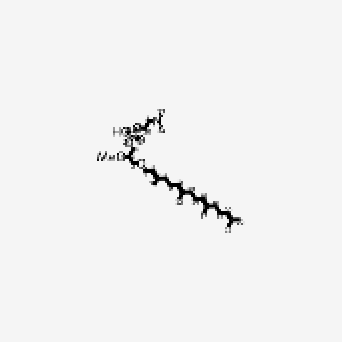 COC(COC/C=C(\C)CC/C=C(\C)CC/C=C(\C)CCC=C(C)C)COP(=O)(O)OCCN(C)C